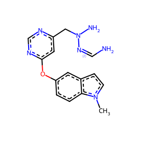 Cn1ccc2cc(Oc3cc(CN(N)/N=C\N)ncn3)ccc21